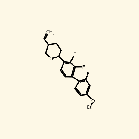 C=CC1CCC(c2ccc(-c3ccc(OCC)cc3F)c(F)c2F)OC1